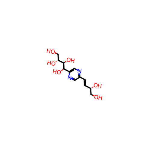 OC[C@@H](O)[C@@H](O)[C@H](O)c1cnc(/C=C/[C@H](O)CO)cn1